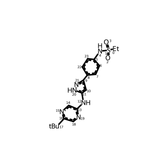 CCS(=O)(=O)Nc1ccc(-c2cc(Nc3cnc(C(C)(C)C)cn3)[nH]n2)cc1